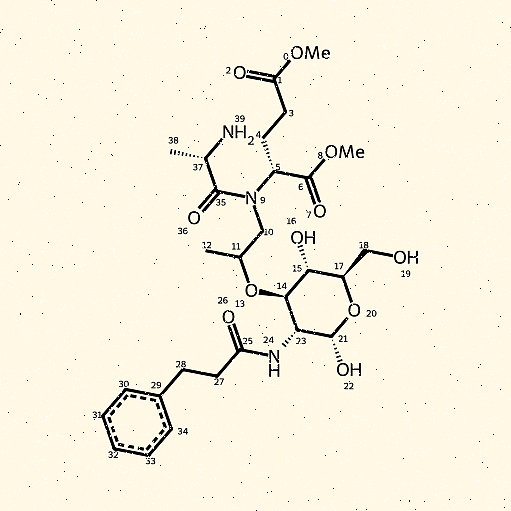 COC(=O)CC[C@H](C(=O)OC)N(CC(C)O[C@H]1[C@H](O)[C@@H](CO)O[C@H](O)[C@@H]1NC(=O)CCc1ccccc1)C(=O)[C@H](C)N